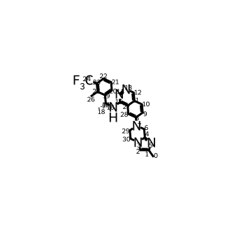 Cc1cn2c(n1)CN(c1ccc3cnnc(N[C@H](C)c4cccc(C(F)(F)F)c4C)c3c1)CC2